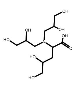 O=C(O)C(CC(O)CO)N(CC(O)CO)CC(O)CO